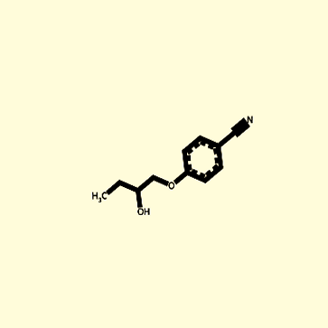 CCC(O)COc1ccc(C#N)cc1